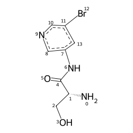 N[C@H](CO)C(=O)Nc1cncc(Br)c1